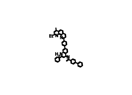 C=C(/N=C(\C=C(/N)c1ccccc1)c1ccc(-c2ccc(-c3ccc4ccc5c(C)cc(CC)nc5c4n3)cc2)cc1)c1ccc(-c2ccccc2)cc1